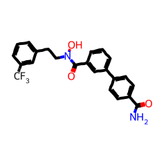 NC(=O)c1ccc(-c2cccc(C(=O)N(O)CCc3cccc(C(F)(F)F)c3)c2)cc1